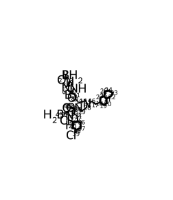 BC(=O)/N=C(\N=C/B=O)NCCC[C@H]1CN(CCc2ccc3ccccc3c2)CCN1C(=O)[C@@H](Cc1ccc(Cl)cc1Cl)NC(B)=O